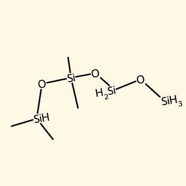 C[SiH](C)O[Si](C)(C)O[SiH2]O[SiH3]